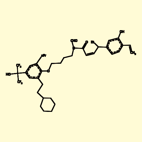 C=Cc1ccc(C(/C=C\C(=O)N(C=O)CCCCOc2c(CCC)cc(C(O)(C(F)(F)F)C(F)(F)F)cc2CCC2CCCCC2)CC)cc1O